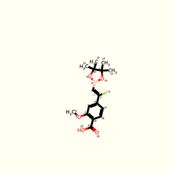 COc1cc(/C(F)=C/B2OC(C)(C)C(C)(C)O2)ccc1C(=O)O